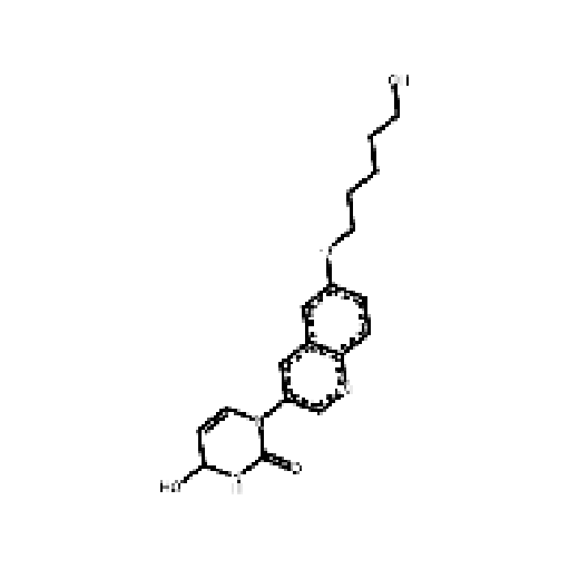 O=C1NC(O)C=CN1c1cnc2ccc(OCCCCCO)cc2c1